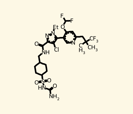 CCn1nc(C(=O)NCC2CCC(S(=O)(=O)NC(N)=O)CC2)c(Cl)c1-c1cnc(CC(C)(C)C(F)(F)F)cc1OC(F)F